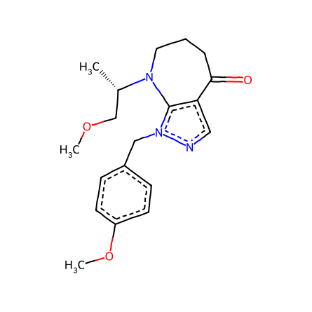 COC[C@H](C)N1CCCC(=O)c2cnn(Cc3ccc(OC)cc3)c21